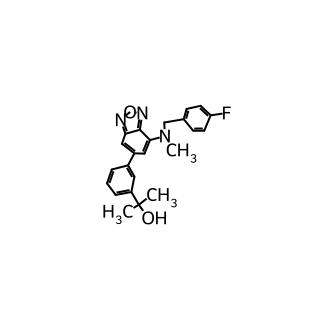 CN(Cc1ccc(F)cc1)c1cc(-c2cccc(C(C)(C)O)c2)cc2nonc12